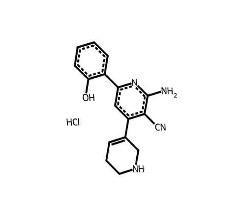 Cl.N#Cc1c(C2=CCCNC2)cc(-c2ccccc2O)nc1N